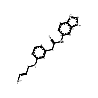 CCC/C=C/COc1cccc(CC(=O)Nc2ccc3ncsc3c2)c1